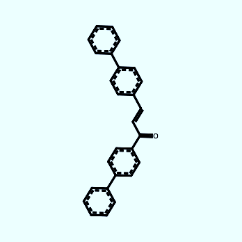 O=C(C=Cc1ccc(-c2ccccc2)cc1)c1ccc(-c2ccccc2)cc1